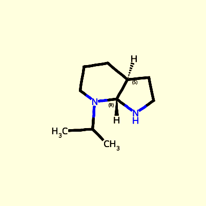 CC(C)N1CCC[C@H]2CCN[C@@H]21